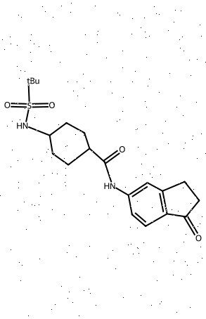 CC(C)(C)S(=O)(=O)NC1CCC(C(=O)Nc2ccc3c(c2)CCC3=O)CC1